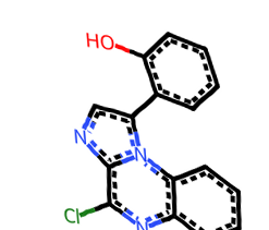 Oc1ccccc1-c1cnc2c(Cl)nc3ccccc3n12